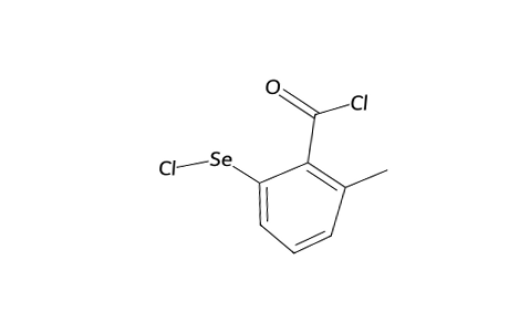 Cc1cccc([Se]Cl)c1C(=O)Cl